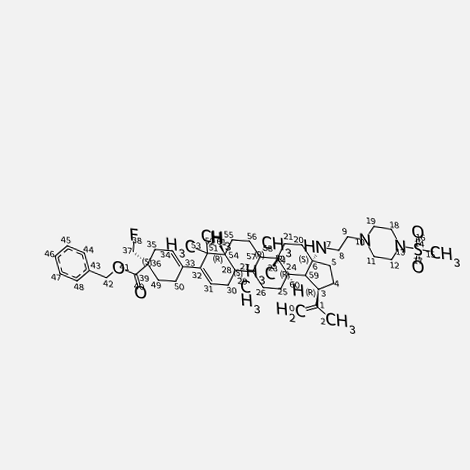 C=C(C)[C@@H]1CC[C@]2(NCCN3CCN(S(C)(=O)=O)CC3)CC[C@]3(C)[C@H](CCC4[C@@]5(C)CC=C(C6=CC[C@](CF)(C(=O)OCc7ccccc7)CC6)C(C)(C)[C@@H]5CC[C@]43C)C12